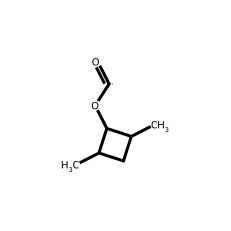 CC1CC(C)C1O[C]=O